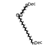 CCCCCCCCCCCCCCCCCCCCCCCCCCCC(=O)OCCCCCCCCCCCCCCCC